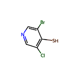 Sc1c(Cl)cncc1Br